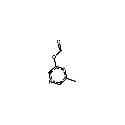 Cc1cncc(OC=O)n1